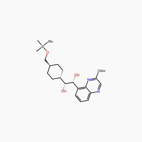 COc1cnc2cccc([C@@H](O)[C@H](O)[C@H]3CC[C@H](CO[Si](C)(C)C(C)(C)C)CC3)c2n1